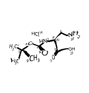 CC(C)(C)OC(=O)N[C@@H](CN)C(=O)O.Cl